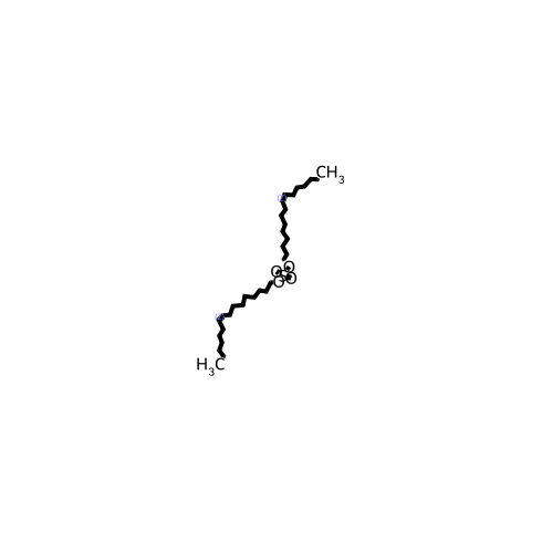 CCCCCC/C=C\CCCCCCCCOS(=O)(=O)OCCCCCCCC/C=C\CCCCCC